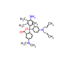 C=CCN(CC=C)c1ccc(C2(c3ccc(N)c(C)c3C)OC(=O)c3cc(N(C)C)ccc32)c(C)c1